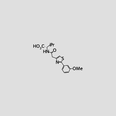 COc1cccc(-c2nc(CC(=O)N[C@H](C(=O)O)C(C)C)cs2)c1